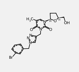 Cc1cn([C@H]2CC[C@@H](CO)O2)c(=O)n(Cc2cn(Cc3cccc(Br)c3)nn2)c1=O